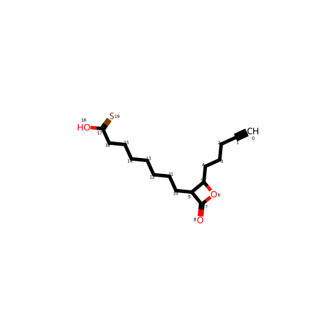 C#CCCCC1OC(=O)C1CCCCCCCC(O)=S